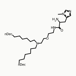 CCCCCCCCCCCCCCCCN(CCCCCCCCCCCCCCCC)CCOCCNC(=O)C(N)Cc1cncn1C